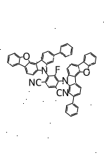 N#Cc1cc(C#N)c(-n2c3cc(-c4ccccc4)ccc3c3c4oc5ccccc5c4ccc32)c(F)c1-n1c2cc(-c3ccccc3)ccc2c2c3oc4ccccc4c3ccc21